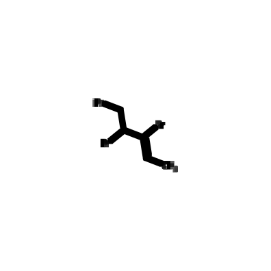 C/C=C(\Br)C(Br)CC(C)C